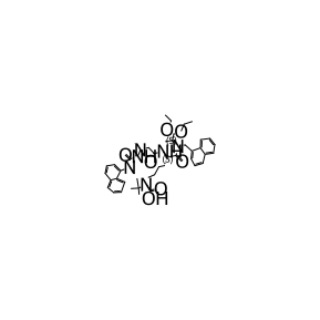 CCOC(OCC)[C@H](C)N(Cc1cccc2ccccc12)C(=O)[C@H](CCCCN(C(=O)O)C(C)(C)C)NC(=O)CN(C)NC(=O)N(C)c1cccc2ccccc12